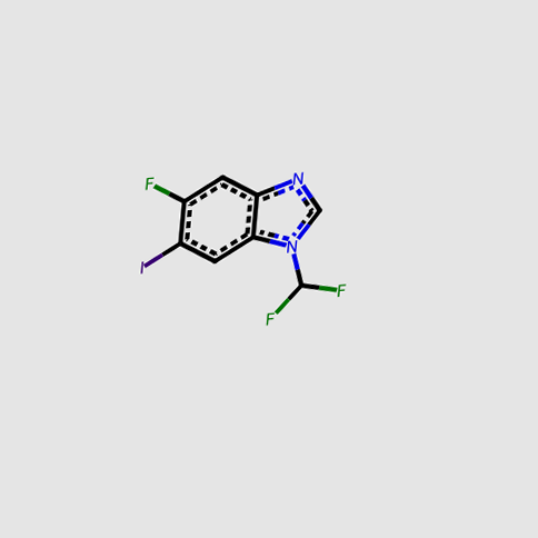 Fc1cc2ncn(C(F)F)c2cc1I